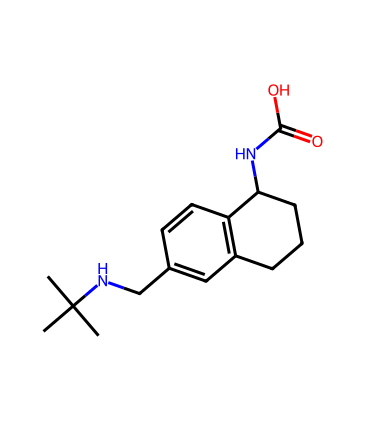 CC(C)(C)NCc1ccc2c(c1)CCCC2NC(=O)O